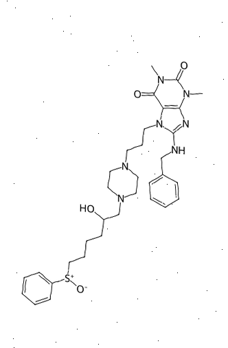 Cn1c(=O)c2c(nc(NCc3ccccc3)n2CCCN2CCN(CC(O)CCCC[S+]([O-])c3ccccc3)CC2)n(C)c1=O